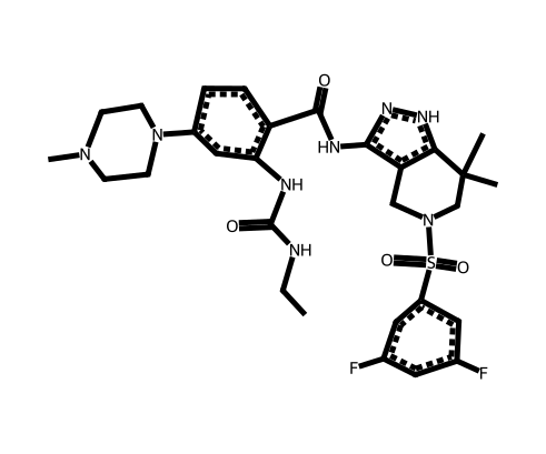 CCNC(=O)Nc1cc(N2CCN(C)CC2)ccc1C(=O)Nc1n[nH]c2c1CN(S(=O)(=O)c1cc(F)cc(F)c1)CC2(C)C